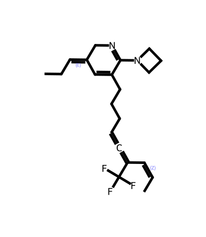 C/C=C\C(=C=CCCCC1=C/C(=C\CC)CN=C1N1CCC1)C(F)(F)F